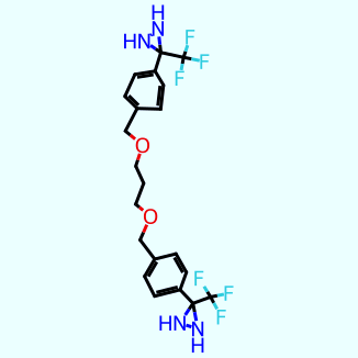 FC(F)(F)C1(c2ccc(COCCCOCc3ccc(C4(C(F)(F)F)NN4)cc3)cc2)NN1